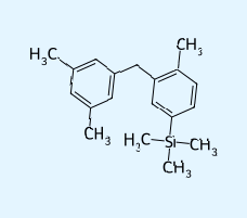 Cc1cc(C)cc(Cc2cc([Si](C)(C)C)ccc2C)c1